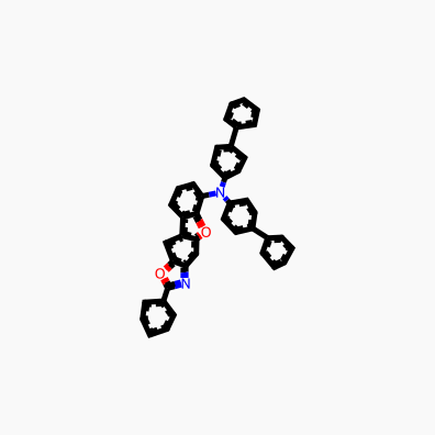 c1ccc(-c2ccc(N(c3ccc(-c4ccccc4)cc3)c3cccc4c3oc3cc5nc(-c6ccccc6)oc5cc34)cc2)cc1